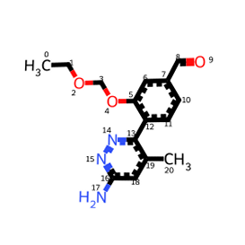 CCOCOc1cc(C=O)ccc1-c1nnc(N)cc1C